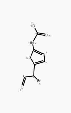 O=CC(Br)c1cnc(NC(=O)O)s1